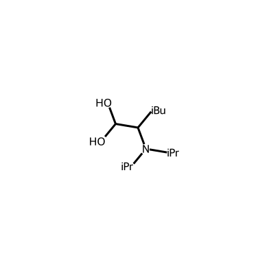 CCC(C)C(C(O)O)N(C(C)C)C(C)C